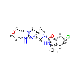 C[C@@H](NC(=O)N1CCc2cnc(NC3CCOCC3)nc2C1)c1ccc(Cl)cc1